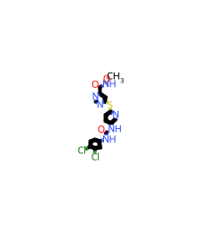 CONC(=O)c1cc(Sc2ccc(NC(=O)Nc3ccc(Cl)c(Cl)c3)cn2)ncn1